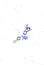 Cc1n[nH]c2cnc(-c3nnc(C)n3Cc3ccc(Cl)cc3)cc12